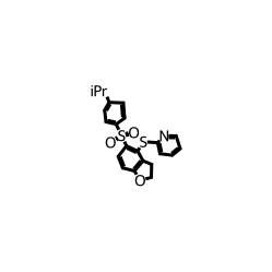 CC(C)c1ccc(S(=O)(=O)c2ccc3c(c2Sc2ccccn2)CCO3)cc1